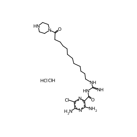 Cl.Cl.N=C(NCCCCCCCCCCCC(=O)N1CCNCC1)NC(=O)c1nc(Cl)c(N)nc1N